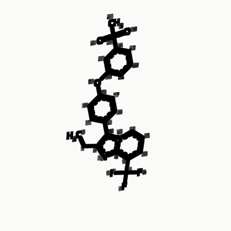 CCc1nc2c(C(F)(F)F)cccn2c1-c1ccc(Oc2cccc(S(C)(=O)=O)c2)cc1